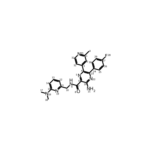 Cc1cc(-c2nc(C(=O)NCc3cccc(N(C)C)n3)c(N)nc2-c2ccc(F)cc2)ccn1